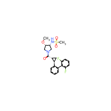 CO[C@H]1CN(C(=O)[C@@H]2C[C@H]2c2ccccc2-c2c(F)cccc2F)C[C@H]1NS(C)(=O)=O